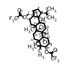 C=C(C)[C@@H]1CC[C@]2(COC(=O)C(F)(F)F)CC[C@]3(C)[C@H](CC[C@@H]4[C@@]5(C)CC[C@H](OC(=O)C(F)(F)F)C(C)(C)[C@@H]5CC[C@]43C)[C@@H]12